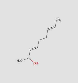 CC=CCCC=CC(C)O